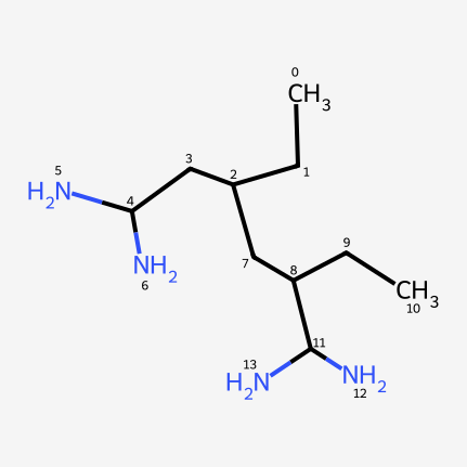 CCC(CC(N)N)CC(CC)C(N)N